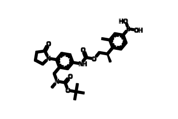 Cc1cc(B(O)O)ccc1[C@@H](C)COC(=O)Nc1ccc(N2CCCC2=O)c(CN(C)C(=O)OC(C)(C)C)c1